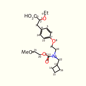 CCOC(Cc1ccc(OCCN(CC2CCC2)C(=O)OCCOC)cc1)C(=O)O